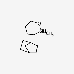 C1CC2CCC1C2.C[SiH]1CCCCO1